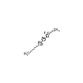 CCCCCCCCCCC1COC(c2ccc(-c3ccc(OCCCCCC)c(F)c3)nc2)OC1